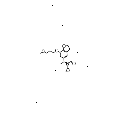 COCCCOc1cc(C(C)N(C=O)C2CC2)cc2c1OCC2